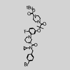 CC(C)(C)OC(=O)N1CCN(C(=O)C(C)(C)Oc2ccc(F)c(N3CCC[C@@H](C(=O)N(Cc4ccc(Br)cc4)C4CC4)C3)c2)CC1